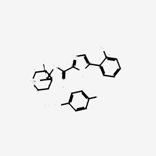 Cc1ccc(S(=O)(=O)O)cc1.O=C(N[C@H]1CN2CCC1CC2)c1ncc(-c2ccccc2[N+](=O)[O-])o1